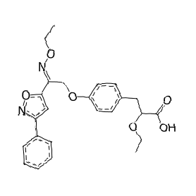 CCO/N=C(\COc1ccc(CC(OCC)C(=O)O)cc1)c1cc(-c2ccccc2)no1